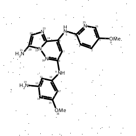 COc1ccc(Nc2cc(Nc3cc(N)cc(OC)c3)nn3c(N)cnc23)nc1